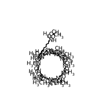 C=C1C(=O)N(C)[C@@H](CC(C)C)C(=O)N[C@H](C(C)C)C(=O)N(C)[C@H](CC(C)C)C(=O)N[C@H](C)C(=O)N[C@@H](C)C(=O)N(C)[C@H](CC(C)C)C(=O)N(C)[C@H](CC(C)C)C(=O)N(C)[C@H](C(C)C)C(=O)N(C)[C@@H]([C@H](O)[C@H](C)CCCCCCCCNC(=O)OC(C)(C)C)C(=O)N[C@H](CC)C(=O)N1C